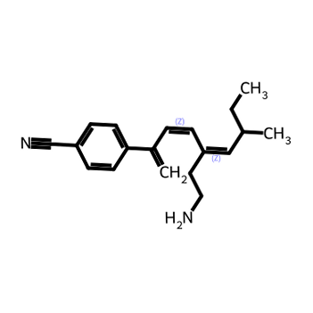 C=C(/C=C\C(=C/C(C)CC)CCN)c1ccc(C#N)cc1